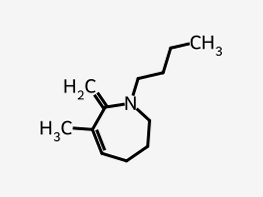 C=C1C(C)=CCCCN1CCCC